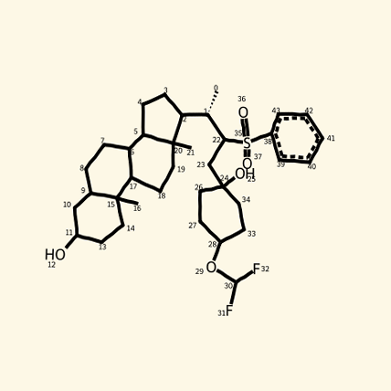 C[C@@H](C1CCC2C3CCC4CC(O)CCC4(C)C3CCC21C)C(CC1(O)CCC(OC(F)F)CC1)S(=O)(=O)c1ccccc1